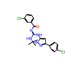 CC(C)(C)N/C(=N/C(=O)c1cccc(Cl)c1)Nc1cc(-c2ccc(Cl)cc2)n[nH]1